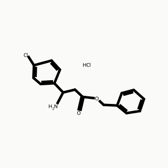 Cl.NC(CC(=O)OCc1ccccc1)c1ccc(Cl)cc1